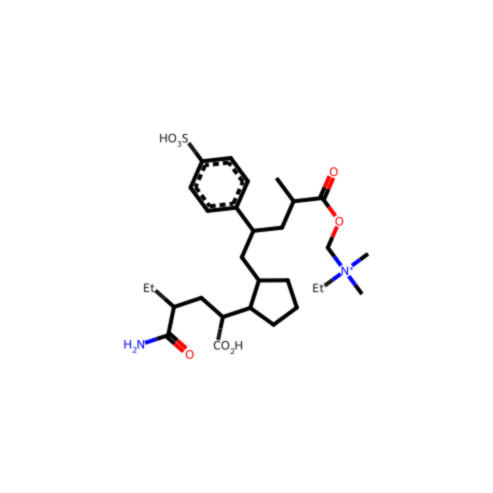 CCC(CC(C(=O)O)C1CCCC1CC(CC(C)C(=O)OC[N+](C)(C)CC)c1ccc(S(=O)(=O)O)cc1)C(N)=O